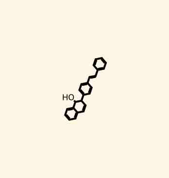 OC1c2ccccc2C=CC1c1ccc(C=Cc2ccccc2)cc1